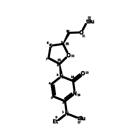 CCN(c1ccn([C@H]2CS[C@@H](COC(C)(C)C)O2)c(=O)n1)C(C)(C)C